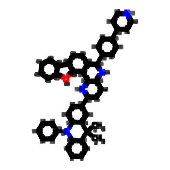 CC1(C)c2ccccc2N(c2ccccc2)c2ccc(-c3ccc4nc(-c5ccc(-c6ccncc6)cc5)c5ccc6c7ccccc7oc6c5c4n3)cc21